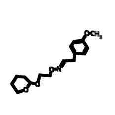 COc1ccc(CC=NOCCOC2CCCCO2)cc1